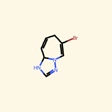 BrC1=CN2N=CNC2C=CC1